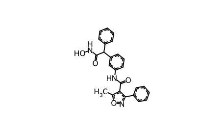 Cc1onc(-c2ccccc2)c1C(=O)Nc1cccc(C(C(=O)NO)c2ccccc2)c1